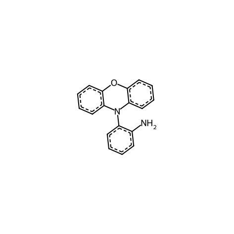 Nc1ccccc1N1c2ccccc2Oc2ccccc21